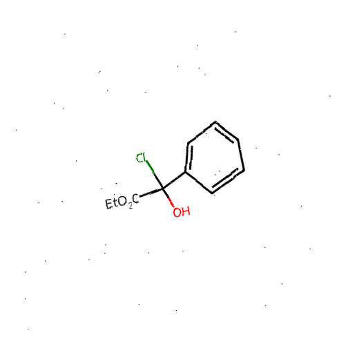 CCOC(=O)C(O)(Cl)c1ccccc1